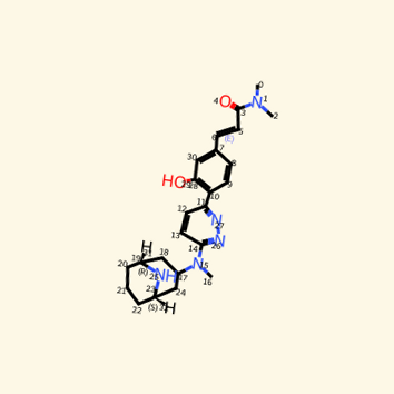 CN(C)C(=O)/C=C/c1ccc(-c2ccc(N(C)C3C[C@H]4CCC[C@@H](C3)N4)nn2)c(O)c1